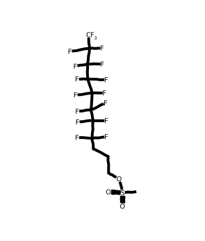 CS(=O)(=O)OCCCC(F)(F)C(F)(F)C(F)(F)C(F)(F)C(F)(F)C(F)(F)C(F)(F)C(F)(F)F